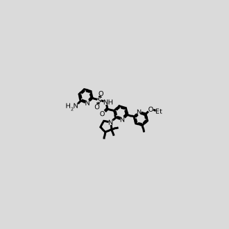 CCOc1cc(C)cc(-c2ccc(C(=O)NS(=O)(=O)c3cccc(N)n3)c(N3CCC(C)C3(C)C)n2)n1